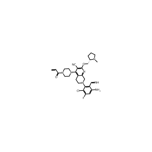 C=CC(=O)N1CCN(c2c(C#N)c(OC[C@@H]3CCCN3C)nc3c2CCN(c2c(Cl)c(F)cc(N)c2C=N)C3)CC1